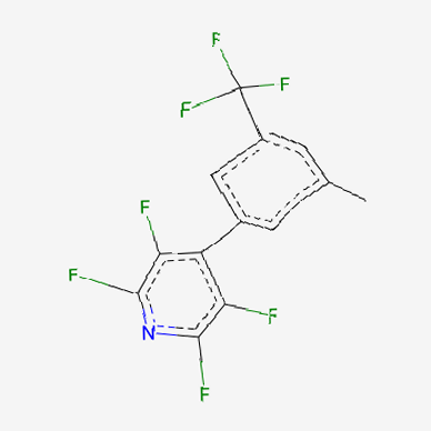 Cc1cc(-c2c(F)c(F)nc(F)c2F)cc(C(F)(F)F)c1